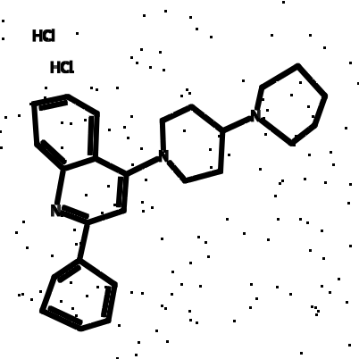 Cl.Cl.c1ccc(-c2cc(N3CCC(N4CCCCC4)CC3)c3ccccc3n2)cc1